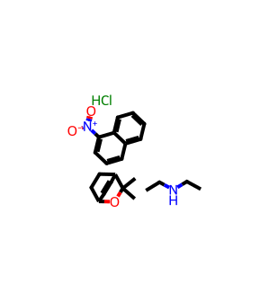 CC1(C)OC2C=CC1CC2.CCNCC.Cl.O=[N+]([O-])c1cccc2ccccc12